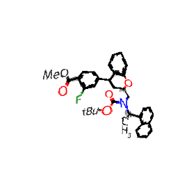 COC(=O)c1ccc(C2C[C@H](CN(C(=O)OC(C)(C)C)[C@H](C)c3cccc4ccccc34)Oc3ccccc32)cc1F